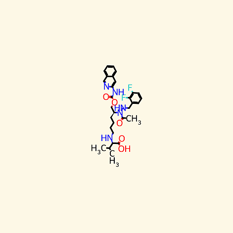 CC(=O)N(NCc1cccc(F)c1F)[C@@H](CCCCN[C@@H](C(=O)O)C(C)C)COC(=O)Nc1cc2ccccc2cn1